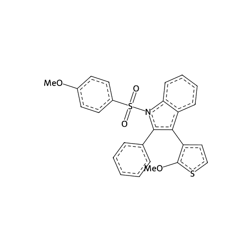 COc1ccc(S(=O)(=O)n2c(-c3ccccc3)c(-c3ccsc3OC)c3ccccc32)cc1